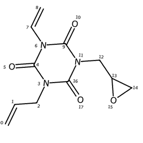 C=CCn1c(=O)n(C=C)c(=O)n(CC2CO2)c1=O